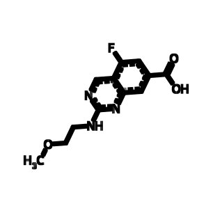 COCCNc1ncc2c(F)cc(C(=O)O)cc2n1